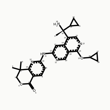 CC1(C)COC(=O)c2ccc(Nc3cc4c([C@](C)(N)C5CC5)cnc(OC5CC5)c4cn3)nc21